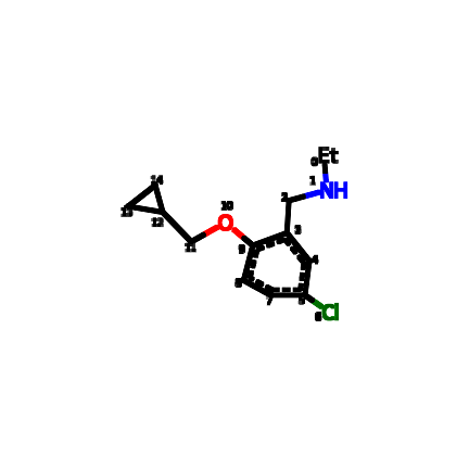 CCNCc1cc(Cl)ccc1OCC1CC1